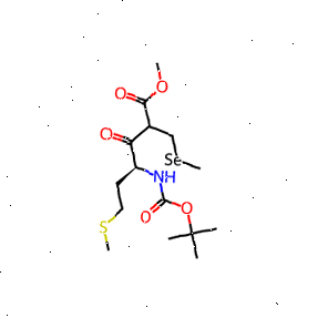 COC(=O)C(C[Se]C)C(=O)[C@H](CCSC)NC(=O)OC(C)(C)C